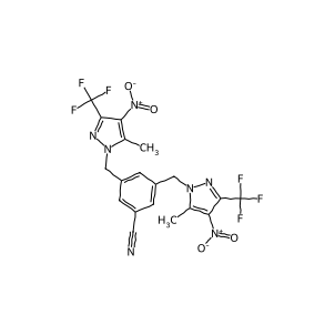 Cc1c([N+](=O)[O-])c(C(F)(F)F)nn1Cc1cc(C#N)cc(Cn2nc(C(F)(F)F)c([N+](=O)[O-])c2C)c1